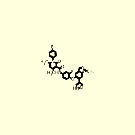 Cc1cc(C)n(-c2ccc(F)cc2)c(=O)c1C(=O)Nc1ccc(Oc2cc3cnn(C)c3cc2-c2cn[nH]c2)c(F)c1